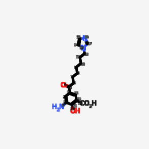 Nc1cc(C(=O)CCCCCCCn2ccnc2)cc(C(=O)O)c1O